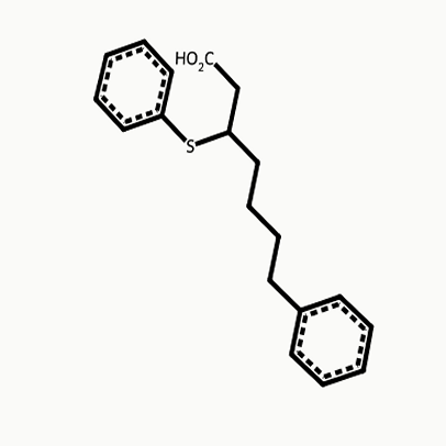 O=C(O)CC(CCCCc1ccccc1)Sc1ccccc1